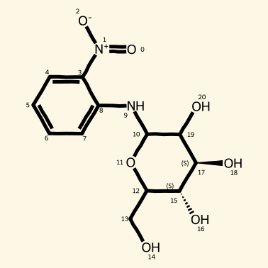 O=[N+]([O-])c1ccccc1NC1OC(CO)[C@@H](O)[C@H](O)C1O